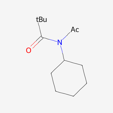 CC(=O)N(C(=O)C(C)(C)C)C1CCCCC1